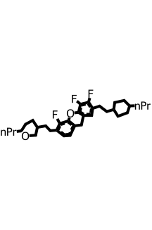 CCCC1CCC(CCc2cc3c(c(F)c2F)Oc2c(ccc(CCC4CCC(CCC)OC4)c2F)C3)CC1